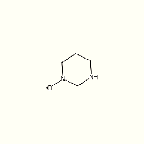 [O]N1CCCNC1